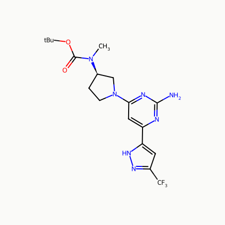 CN(C(=O)OC(C)(C)C)[C@@H]1CCN(c2cc(-c3cc(C(F)(F)F)n[nH]3)nc(N)n2)C1